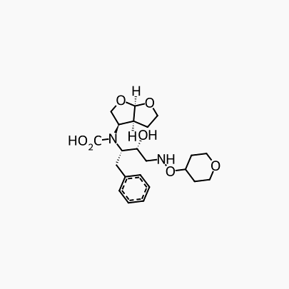 O=C(O)N([C@H]1CO[C@H]2OCC[C@H]21)[C@@H](Cc1ccccc1)[C@H](O)CNOC1CCOCC1